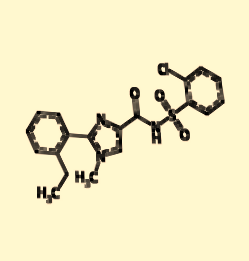 CCc1ccccc1-c1nc(C(=O)NS(=O)(=O)c2ccccc2Cl)cn1C